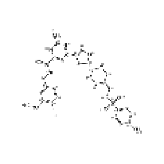 COc1cc(CNC(=O)c2cc(C3=NOC([C@H]4CO[C@H](COS(=O)(=O)c5ccc(C)cc5)CO4)C3)nc(C)n2)ccc1F